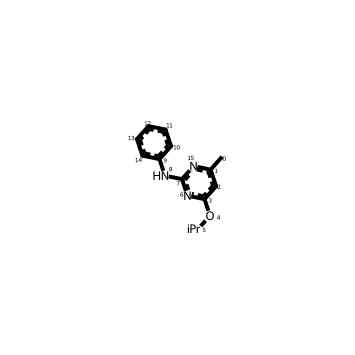 Cc1cc(OC(C)C)nc(Nc2ccccc2)n1